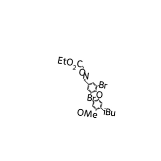 CCOC(=O)CON=Cc1cc(Br)c(Oc2ccc(OC)c(C(C)CC)c2)c(Br)c1